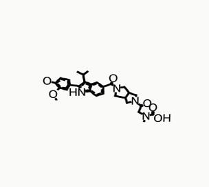 COc1ccc(-c2[nH]c3ccc(C(=O)N4CC5CN(C(=O)CN(C)C(=O)O)CC5C4)cc3c2C(C)C)cc1OC